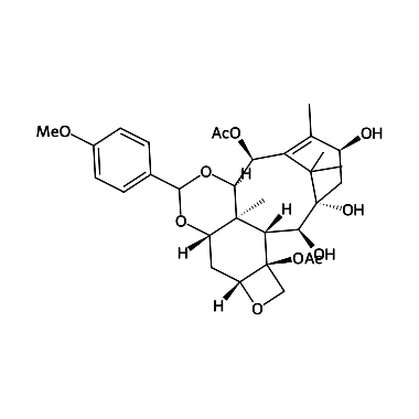 COc1ccc(C2O[C@H]3C[C@H]4OC[C@@]4(OC(C)=O)[C@H]4[C@H](O)[C@]5(O)C[C@H](O)C(C)=C([C@H](OC(C)=O)[C@H](O2)[C@]34C)C5(C)C)cc1